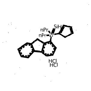 CC[CH2][Zr](=[SiH2])([CH2]CC)([C]1=CC=CC1)[c]1cccc2c1Cc1ccccc1-2.Cl.Cl